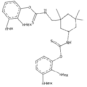 CCCCCCc1cccc(OC(=S)NCC2(C)CC(NC(=S)Oc3cccc(CCCCCC)c3CCCCCC)CC(C)(C)C2)c1CCCCCC